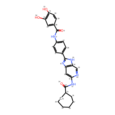 O=C(Nc1ccc(-c2nc3cc(NC(=O)C4CCCCCC4)ncc3[nH]2)cc1)c1ccc(O)c(O)c1